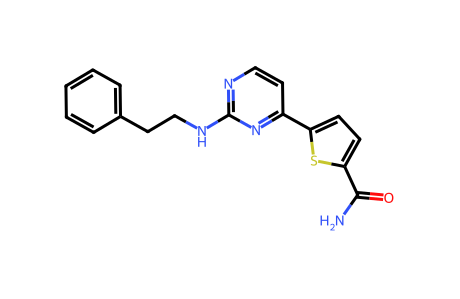 NC(=O)c1ccc(-c2ccnc(NCCc3ccccc3)n2)s1